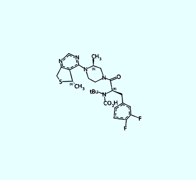 C[C@@H]1SCc2ncnc(N3CCN(C(=O)[C@@H](Cc4ccc(F)c(F)c4)N(C(=O)O)C(C)(C)C)C[C@@H]3C)c21